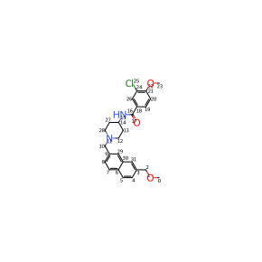 COCc1ccc2ccc(CN3CCC(NC(=O)c4ccc(OC)c(Cl)c4)CC3)cc2c1